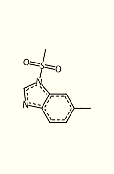 Cc1ccc2ncn(S(C)(=O)=O)c2c1